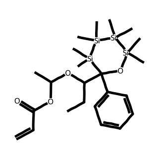 C=CC(=O)OC(C)OC(CC)C1(c2ccccc2)O[Si](C)(C)[Si](C)(C)[Si](C)(C)[Si]1(C)C